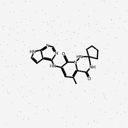 Cc1cc(Nc2ncnc3[nH]ccc23)c(=O)n2c1C(=O)NC1(CCCC1)N2